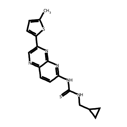 Cc1ccc(-c2cnc3ccc(NC(=S)NCC4CC4)nc3n2)s1